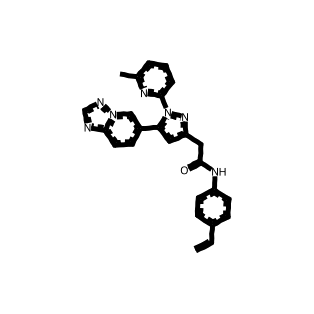 C=Cc1ccc(NC(=O)Cc2cc(-c3ccc4ncnn4c3)n(-c3cccc(C)n3)n2)cc1